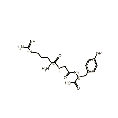 N=C(N)NCCC[C@H](N)C(=O)NCC(=O)N[C@@H](Cc1ccc(O)cc1)C(=O)O